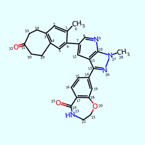 Cc1cc2c(cc1-c1cnc3c(c1)c(-c1ccc4c(c1)OCCNC4=O)nn3C)CCC(=O)CC2